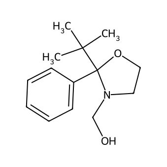 CC(C)(C)C1(c2ccccc2)OCCN1CO